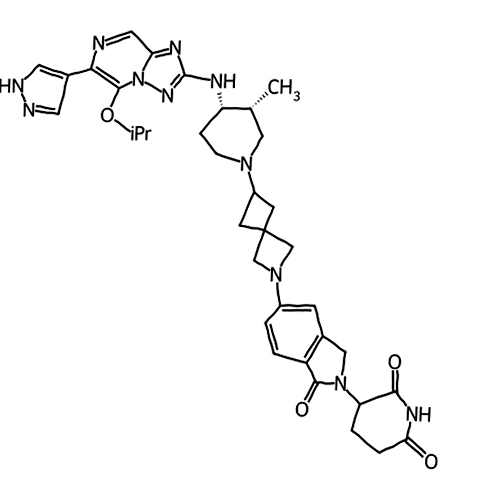 CC(C)Oc1c(-c2cn[nH]c2)ncc2nc(N[C@H]3CCN(C4CC5(C4)CN(c4ccc6c(c4)CN(C4CCC(=O)NC4=O)C6=O)C5)C[C@H]3C)nn12